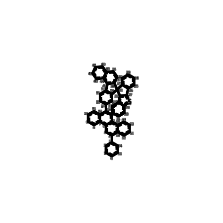 c1ccc(-c2cc3c4ccccc4c(-c4ccc5c(c4)C4(c6ccccc6-c6sc7ccccc7c64)c4ccc6ccccc6c4-5)cc3c3ccccc23)cc1